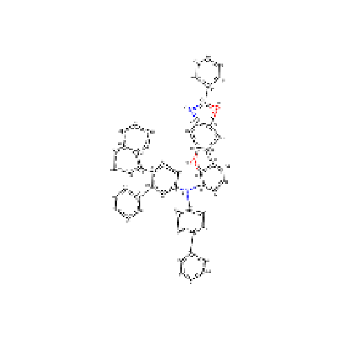 c1ccc(-c2ccc(N(c3ccc(-c4cccc5ccccc45)c(-c4ccccc4)c3)c3cccc4c3oc3cc5nc(-c6ccccc6)oc5cc34)cc2)cc1